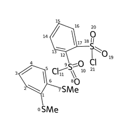 CSc1ccccc1SC.O=S(=O)(Cl)c1ccccc1S(=O)(=O)Cl